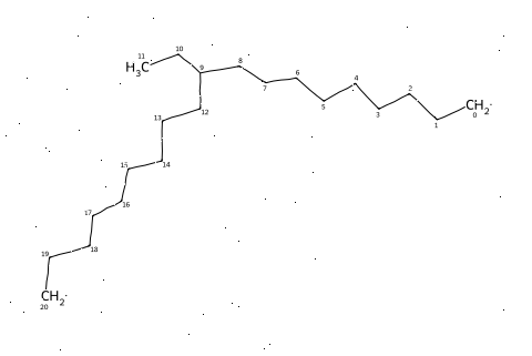 [CH2]CCCCCCCCC(CC)CCCCCCCC[CH2]